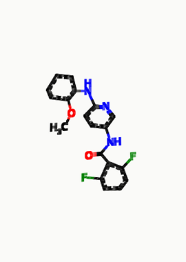 COc1ccccc1Nc1ccc(NC(=O)c2c(F)cccc2F)cn1